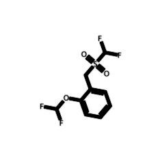 O=S(=O)(Cc1ccccc1OC(F)F)[C](F)F